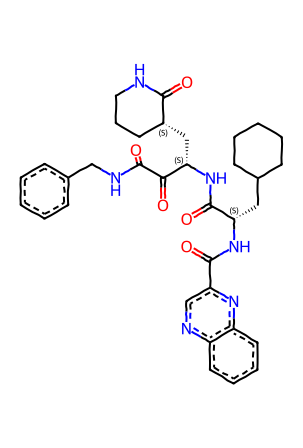 O=C(NCc1ccccc1)C(=O)[C@H](C[C@@H]1CCCNC1=O)NC(=O)[C@H](CC1CCCCC1)NC(=O)c1cnc2ccccc2n1